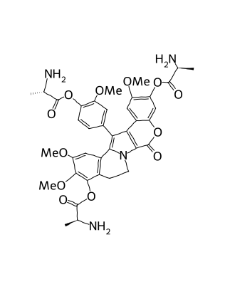 COc1cc(-c2c3n(c4c(=O)oc5cc(OC(=O)[C@H](C)N)c(OC)cc5c24)CCc2c-3cc(OC)c(OC)c2OC(=O)[C@H](C)N)ccc1OC(=O)[C@H](C)N